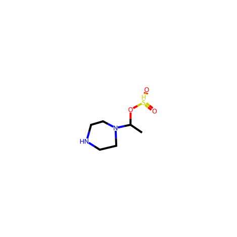 CC(O[SH](=O)=O)N1CCNCC1